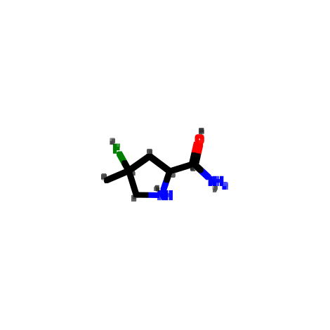 CC1(F)CNC(C(N)=O)C1